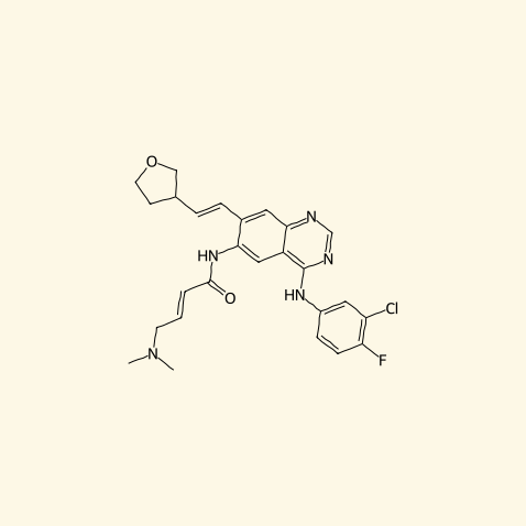 CN(C)C/C=C/C(=O)Nc1cc2c(Nc3ccc(F)c(Cl)c3)ncnc2cc1/C=C/C1CCOC1